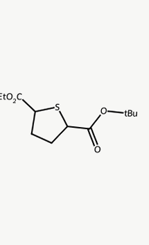 CCOC(=O)C1CCC(C(=O)OC(C)(C)C)S1